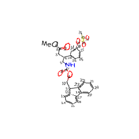 COC(=O)CC(CNC(=O)OCC1c2ccccc2-c2ccccc21)c1cccc(OS(C)(=O)=O)c1